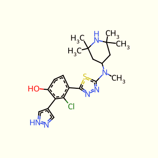 CN(c1nnc(-c2ccc(O)c(-c3cn[nH]c3)c2Cl)s1)C1CC(C)(C)NC(C)(C)C1